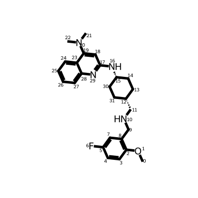 COc1ccc(F)cc1CNC[C@H]1CC[C@@H](Nc2cc(N(C)C)c3ccccc3n2)CC1